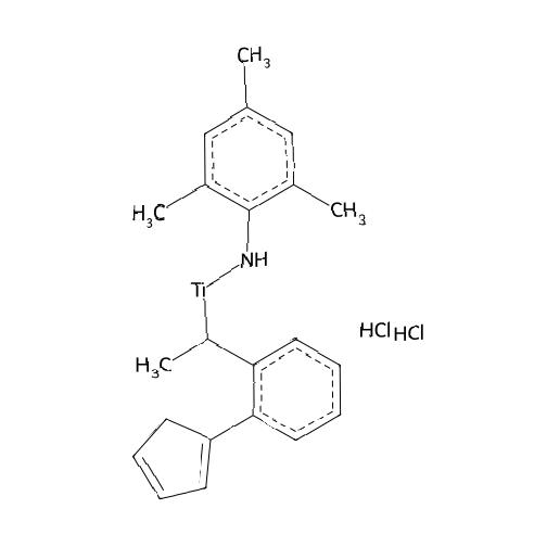 Cc1cc(C)c([NH][Ti][CH](C)c2ccccc2C2=CC=CC2)c(C)c1.Cl.Cl